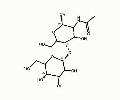 CC(=O)NC1C(O)[C@H](O[C@@H]2OC(CO)[C@H](O)C(O)C2O)C(CO)O[C@H]1O